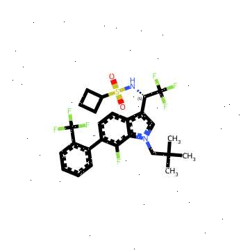 CC(C)(C)Cn1cc([C@H](NS(=O)(=O)C2CCC2)C(F)(F)F)c2ccc(-c3ccccc3C(F)(F)F)c(F)c21